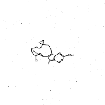 CCC1CC2CC3c4c(c5cc(OC)ccc5n4C)CCC4(CC4)C(C2)C13